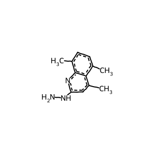 Cc1ccc(C)c2c(C)cc(NN)nc12